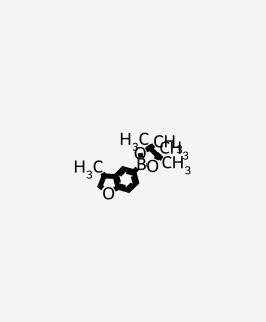 CC1COc2ccc(B3OC(C)(C)C(C)(C)O3)cc21